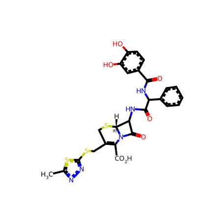 Cc1nnc(SCC2=C(C(=O)O)N3C(=O)C(NC(=O)C(NC(=O)c4ccc(O)c(O)c4)c4ccccc4)[C@H]3SC2)s1